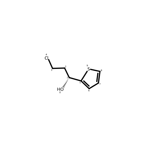 O[C@H](CCCl)c1cccs1